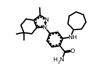 Cc1nn(-c2ccc(C(N)=O)c(NC3CCCCCC3)c2)c2c1CCC(C)(C)C2